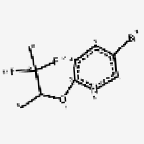 CC(Oc1ccc(Br)cn1)C(C)(F)F